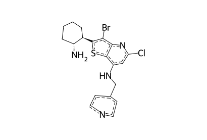 N[C@@H]1CCCC[C@H]1c1sc2c(NCc3ccncc3)cc(Cl)nc2c1Br